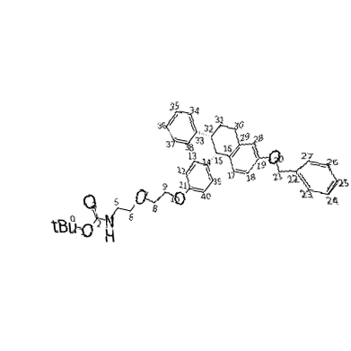 CC(C)(C)OC(=O)NCCOCCOc1ccc([C@H]2c3ccc(OCc4ccccc4)cc3CC[C@H]2c2ccccc2)cc1